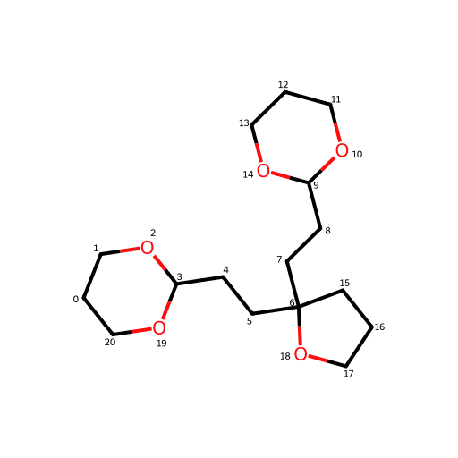 C1COC(CCC2(CCC3OCCCO3)CCCO2)OC1